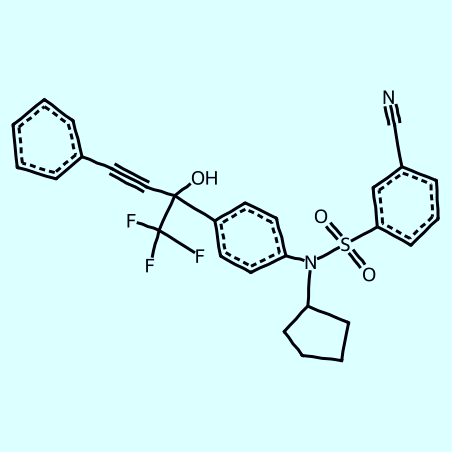 N#Cc1cccc(S(=O)(=O)N(c2ccc(C(O)(C#Cc3ccccc3)C(F)(F)F)cc2)C2CCCC2)c1